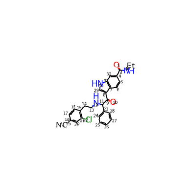 CCNC(=O)c1ccc2c(C(=O)C(NCCc3ccc(C#N)cc3Cl)c3ccccc3)c[nH]c2c1